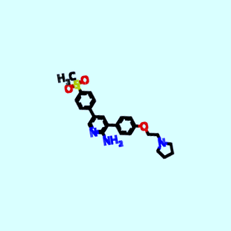 CS(=O)(=O)c1ccc(-c2cnc(N)c(-c3ccc(OCCN4CCCC4)cc3)c2)cc1